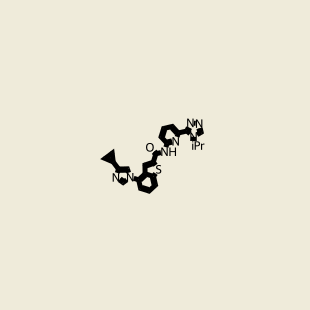 CC(C)n1cnnc1-c1cccc(NC(=O)c2cc3c(-n4cnc(C5CC5)c4)cccc3s2)n1